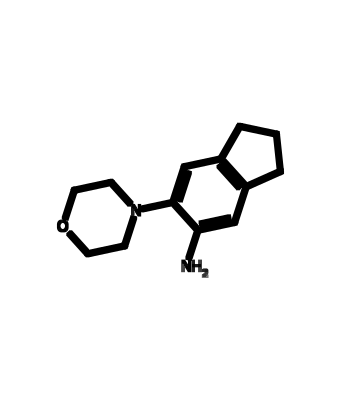 Nc1cc2c(cc1N1CCOCC1)CCC2